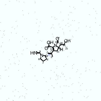 C/C(=C\[C@@H]1CCCN1C=N)C1=C(C(=O)O)N2C(=O)[C@H]([C@@H](C)O)[C@@H]2C1